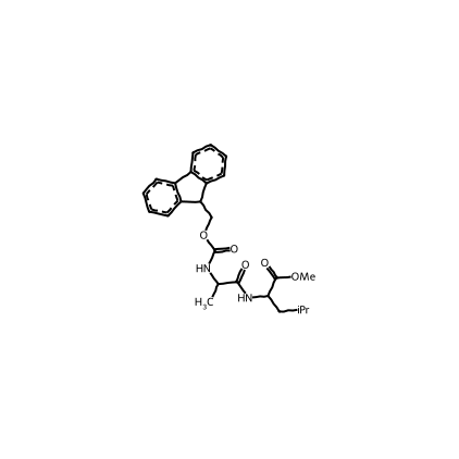 COC(=O)C(CC(C)C)NC(=O)C(C)NC(=O)OCC1c2ccccc2-c2ccccc21